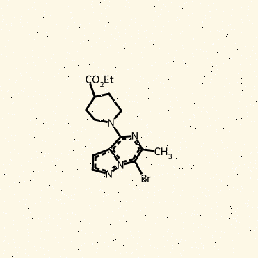 CCOC(=O)C1CCN(c2nc(C)c(Br)n3nccc23)CC1